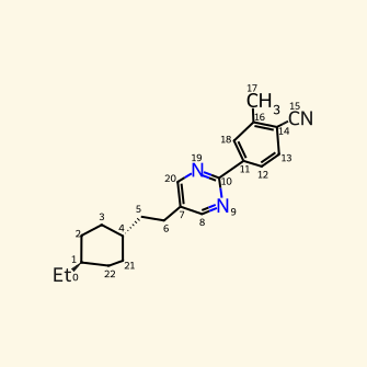 CC[C@H]1CC[C@H](CCc2cnc(-c3ccc(C#N)c(C)c3)nc2)CC1